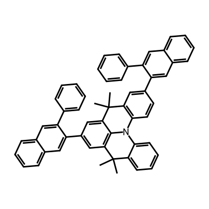 CC1(C)c2ccccc2N2c3ccc(-c4cc5ccccc5cc4-c4ccccc4)cc3C(C)(C)c3cc(-c4cc5ccccc5cc4-c4ccccc4)cc1c32